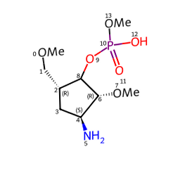 COC[C@H]1C[C@H](N)[C@@H](OC)C1OP(=O)(O)OC